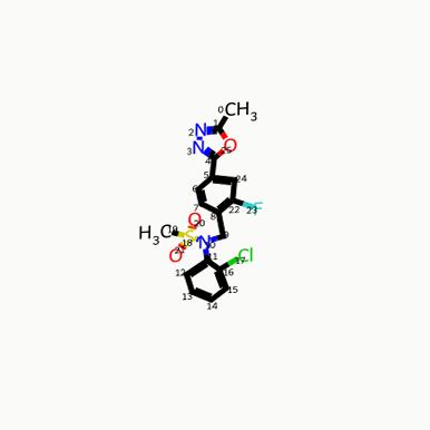 Cc1nnc(-c2ccc(CN(c3ccccc3Cl)S(C)(=O)=O)c(F)c2)o1